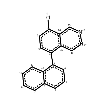 Clc1ccc(-c2cccc3ccccc23)c2cnncc12